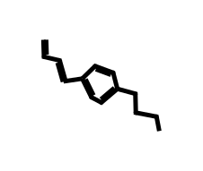 C=C/C=C/c1ccc(CCCC)cc1